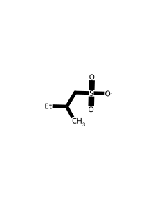 CCC(C)CS([O])(=O)=O